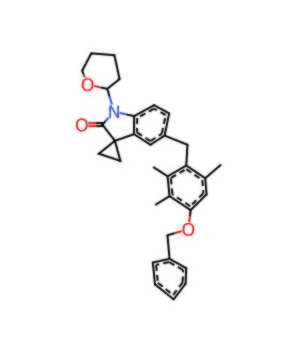 Cc1cc(OCc2ccccc2)c(C)c(C)c1Cc1ccc2c(c1)C1(CC1)C(=O)N2C1CCCCO1